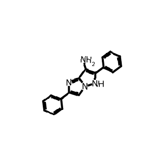 Nc1c(-c2ccccc2)[nH]n2cc(-c3ccccc3)nc12